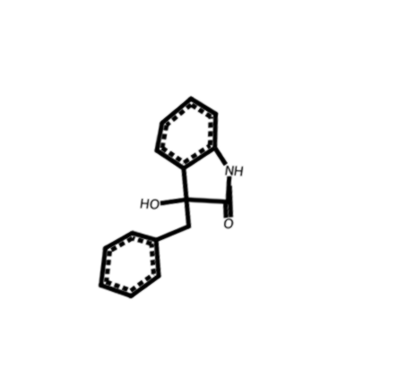 O=C1Nc2ccccc2C1(O)Cc1ccccc1